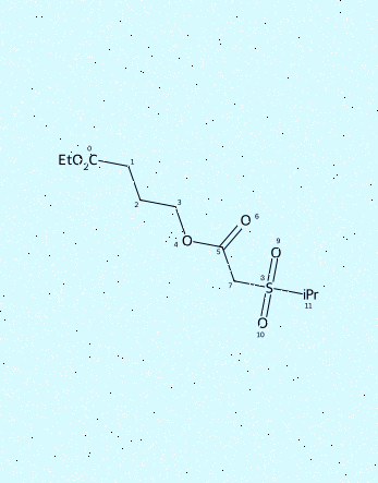 CCOC(=O)CCCOC(=O)CS(=O)(=O)C(C)C